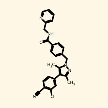 Cc1nn(Cc2ccc(C(=O)NCc3ccccn3)cc2)c(C)c1-c1ccc(C#N)c(Cl)c1